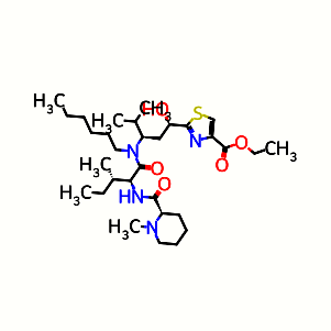 CCCCCCN(C(=O)[C@@H](NC(=O)[C@H]1CCCCN1C)[C@@H](C)CC)[C@H](C[C@@H](O)c1nc(C(=O)OCC)cs1)C(C)C